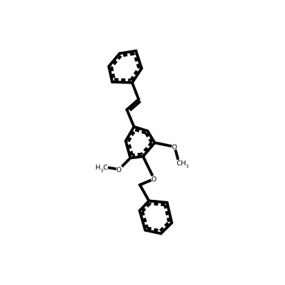 COc1cc(C=Cc2ccccc2)cc(OC)c1OCc1ccccc1